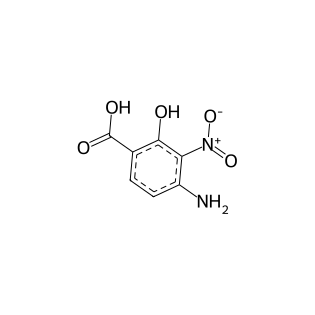 Nc1ccc(C(=O)O)c(O)c1[N+](=O)[O-]